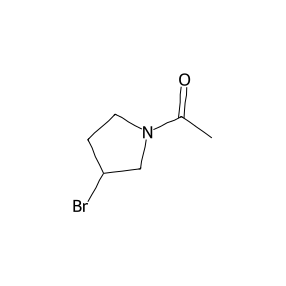 CC(=O)N1CCC(Br)C1